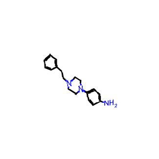 Nc1ccc(N2CCN(CCc3ccccc3)CC2)cc1